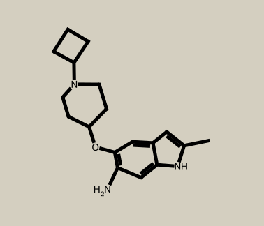 Cc1cc2cc(OC3CCN(C4CCC4)CC3)c(N)cc2[nH]1